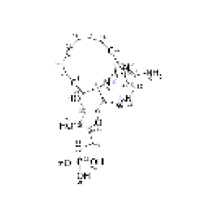 NC1=NC23/C=N\C(CCCCCCCCC2)N(C2OC(COP(=O)(O)O)C(O)C2O)/C=N\C1=CC3